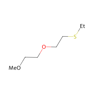 CCSCCOCCOC